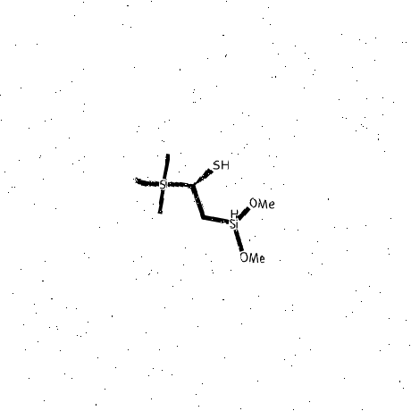 CO[SiH](C[C@H](S)[Si](C)(C)C)OC